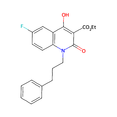 CCOC(=O)c1c(O)c2cc(F)ccc2n(CCCc2ccccc2)c1=O